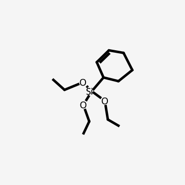 CCO[Si](OCC)(OCC)C1C=CCCC1